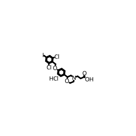 Cl.O=C(O)CCN1CCOC(c2ccc(OCc3c(Cl)cc(I)cc3Cl)cc2)C1